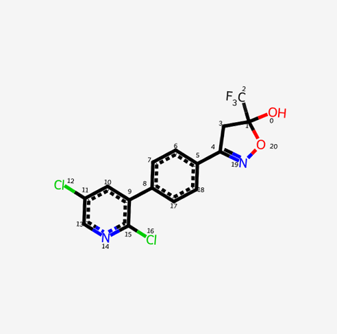 OC1(C(F)(F)F)CC(c2ccc(-c3cc(Cl)cnc3Cl)cc2)=NO1